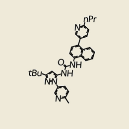 CCCc1ccc(-c2ccc(NC(=O)Nc3cc(C(C)(C)C)nn3-c3ccc(C)nc3)c3ccccc23)cn1